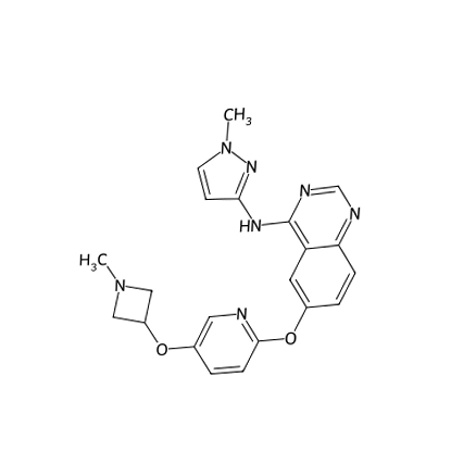 CN1CC(Oc2ccc(Oc3ccc4ncnc(Nc5ccn(C)n5)c4c3)nc2)C1